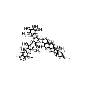 CC1OC(OC2C(C)OC(OC3C(CO)OC(O[C@@H]4CC[C@]5(C)C(=CCC6C7CC8O[C@@]9(CC[C@H](C)CO9)[C@H](C)C8[C@]7(C)CCC65)C4)C(OC4OC(C)C(O)C(O)C4O)C3O)C(O)C2O)C(O)C(O)C1O